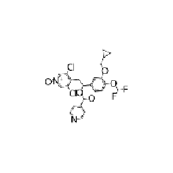 O=C(OC(Cc1c(Cl)c[n+]([O-])cc1Cl)c1ccc(OC(F)F)c(OCC2CC2)c1)c1ccncc1